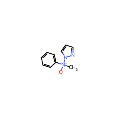 C[N+]([O-])(c1ccccc1)n1cccn1